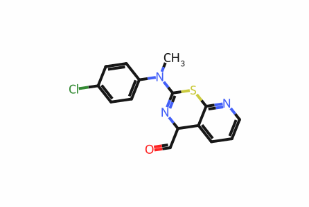 CN(C1=NC(C=O)c2cccnc2S1)c1ccc(Cl)cc1